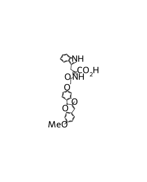 COc1ccc(C=C2Oc3cc(OCC(=O)N[C@H](Cc4c[nH]c5ccccc45)C(=O)O)ccc3C2=O)cc1